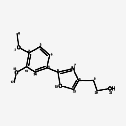 COc1ccc(-c2nc(CCO)co2)cc1OC